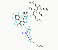 CCCC(C)C[B-](CC(C)CCC)(CC(C)CCC)CC(C)CCC.CCCCCCC(F)(F)C(F)(F)C(F)(F)[NH2+]C(F)(F)C(F)(F)F.Fc1c(F)c(F)c(-c2c(C(F)(F)F)c(F)c(F)c(F)c2C(F)(F)C(F)(F)F)c(F)c1F